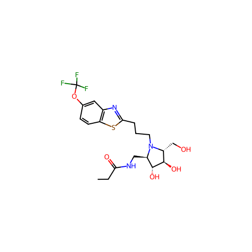 CCC(=O)NC[C@@H]1[C@@H](O)[C@H](O)[C@@H](CO)N1CCCc1nc2cc(OC(F)(F)F)ccc2s1